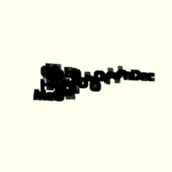 CCCCCCCCCCCCCCOC(=O)COC(=O)c1ccc(OC)c(N/C(=C/C(=O)OCC)OCC)c1